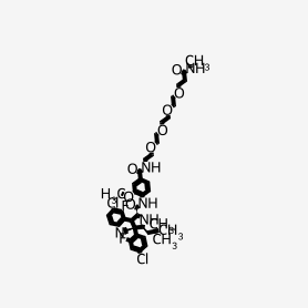 CNC(=O)CCOCCOCCOCCOCCNC(=O)c1ccc(NC(=O)[C@@H]2N[C@@H](CC(C)(C)C)[C@](C#N)(c3ccc(Cl)cc3F)C2c2cccc(Cl)c2F)c(OC)c1